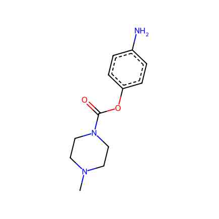 CN1CCN(C(=O)Oc2ccc(N)cc2)CC1